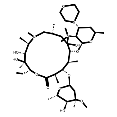 CC[C@H]1OC(=O)[C@H](C)[C@@H](O[C@H]2C[C@@](C)(OC)[C@@H](O)[C@H](C)O2)[C@H](C)[C@@H](O[C@@H]2O[C@H](C)C[C@@H](N3CCOCC3)[C@@H]2N(C)C)[C@@](C)(O)C[C@@H](C)CN(C)[C@H](C)[C@@H](O)[C@]1(C)O